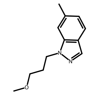 COCCCn1ncc2ccc(C)cc21